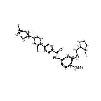 COc1ccc(NC(=O)c2ccc(-c3ccc(-c4noc(C)n4)cc3C)cc2)cc1OCC1CCCN1C